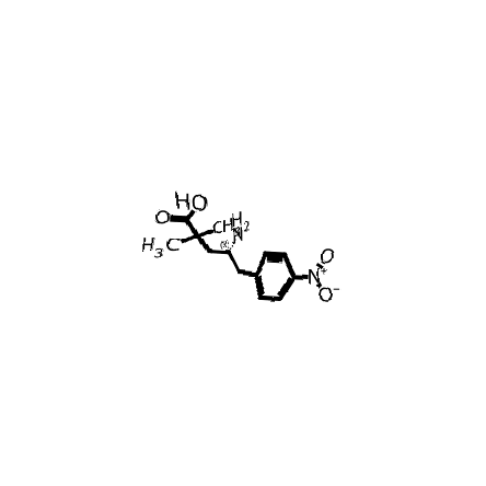 CC(C)(C[C@H](N)Cc1ccc([N+](=O)[O-])cc1)C(=O)O